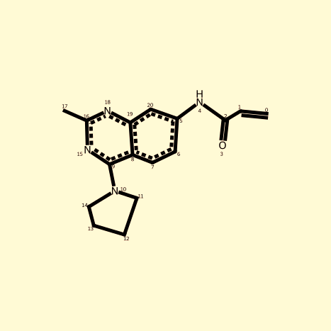 C=CC(=O)Nc1ccc2c(N3CCCC3)nc(C)nc2c1